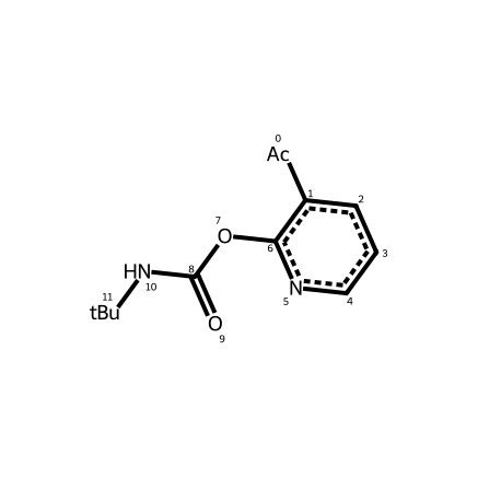 CC(=O)c1cccnc1OC(=O)NC(C)(C)C